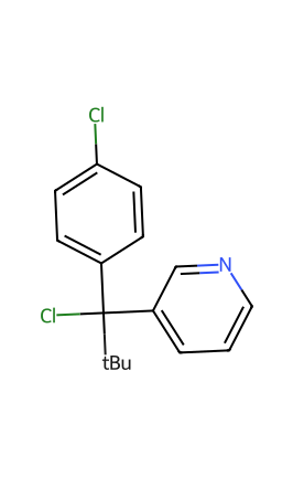 CC(C)(C)C(Cl)(c1ccc(Cl)cc1)c1cccnc1